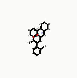 Fc1ccccc1-c1cc(/C=C2/CCCN=C2c2cccnc2)ccc1F